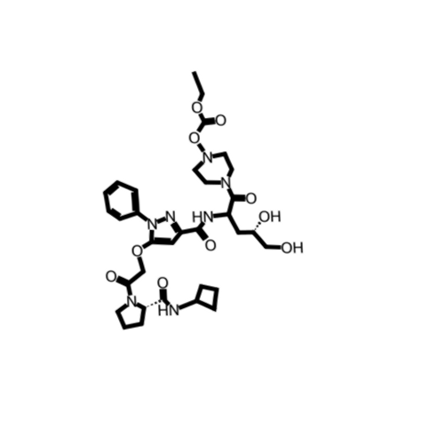 CCOC(=O)ON1CCN(C(=O)C(C[C@H](O)CO)NC(=O)c2cc(OCC(=O)N3CCC[C@H]3C(=O)NC3CCC3)n(-c3ccccc3)n2)CC1